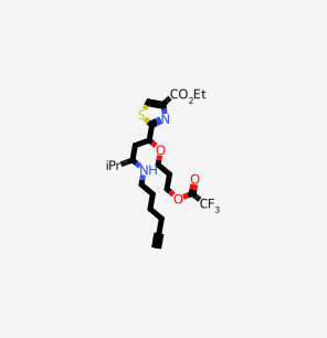 C#CCCCCNC(CC(OCCCOC(=O)C(F)(F)F)c1nc(C(=O)OCC)cs1)C(C)C